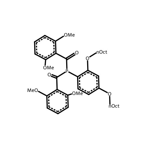 CCCCCCCCOc1ccc(P(C(=O)c2c(OC)cccc2OC)C(=O)c2c(OC)cccc2OC)c(OCCCCCCCC)c1